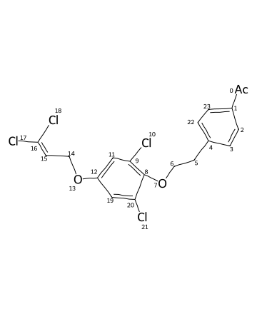 CC(=O)c1ccc(CCOc2c(Cl)cc(OCC=C(Cl)Cl)cc2Cl)cc1